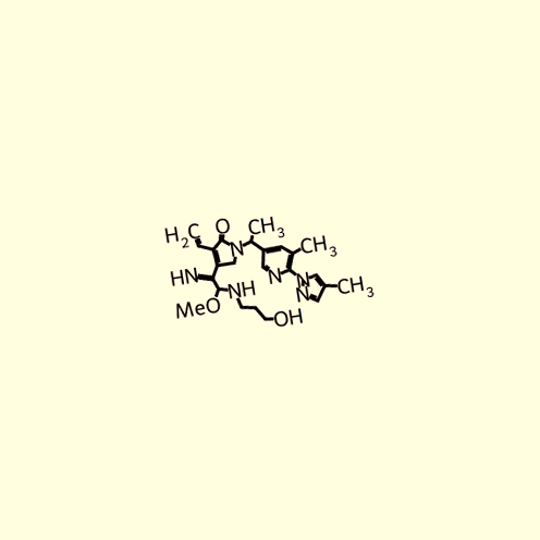 C=CC1=C(C(=N)C(NCCCO)OC)CN(C(C)c2cnc(-n3cc(C)cn3)c(C)c2)C1=O